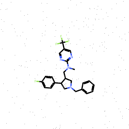 CN(CC1CN(Cc2ccccc2)CC1c1ccc(F)cc1)c1ncc(C(F)(F)F)cn1